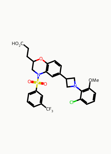 COc1cccc(Cl)c1N1CC(c2ccc3c(c2)N(S(=O)(=O)c2cccc(C(F)(F)F)c2)CC(CCC(=O)O)O3)C1